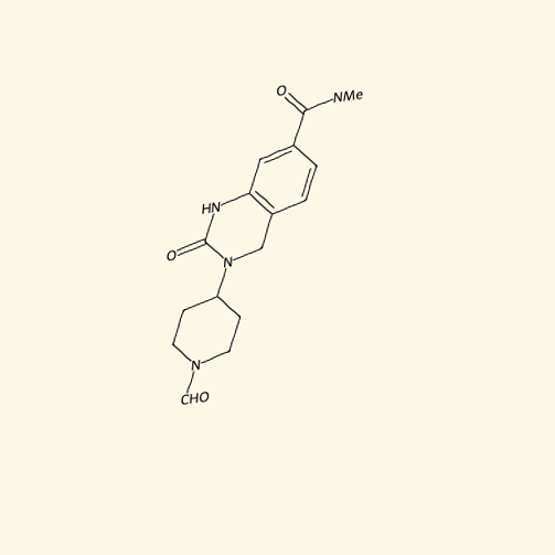 CNC(=O)c1ccc2c(c1)NC(=O)N(C1CCN(C=O)CC1)C2